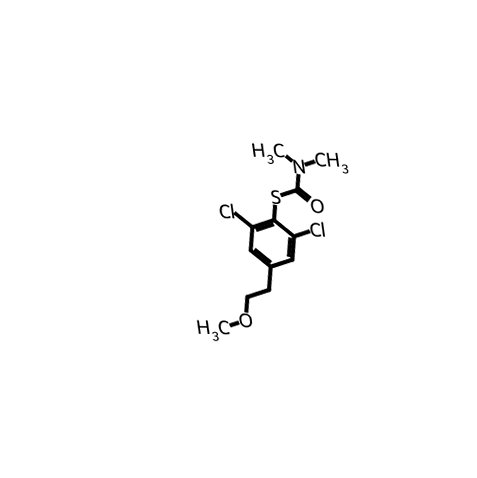 COCCc1cc(Cl)c(SC(=O)N(C)C)c(Cl)c1